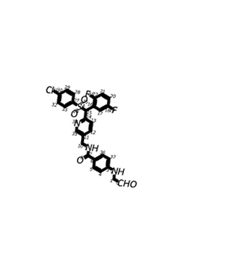 O=CCNc1ccc(C(=O)NCc2ccc(C(c3cc(F)ccc3F)S(=O)(=O)c3ccc(Cl)cc3)nc2)cc1